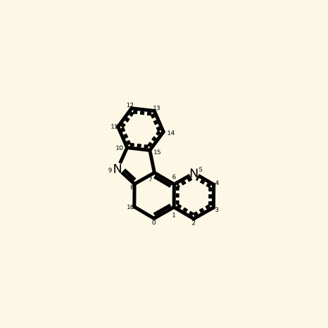 C1=c2cccnc2=C2C(=Nc3ccccc32)C1